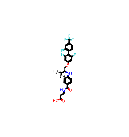 CC(C)[C@@H](COc1cc(F)c(-c2ccc(C(F)(F)F)cc2F)c(F)c1)Nc1ccc(C(=O)NCCC(=O)O)cc1